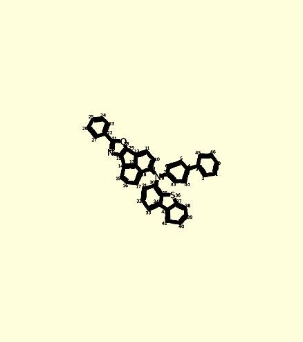 c1ccc(-c2ccc(N(c3ccc4c5c(cccc35)-c3nc(-c5ccccc5)oc3-4)c3cccc4c3sc3ccccc34)cc2)cc1